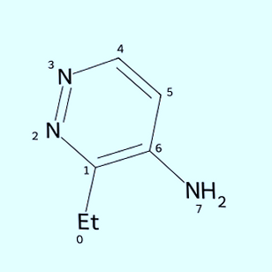 CCc1nnccc1N